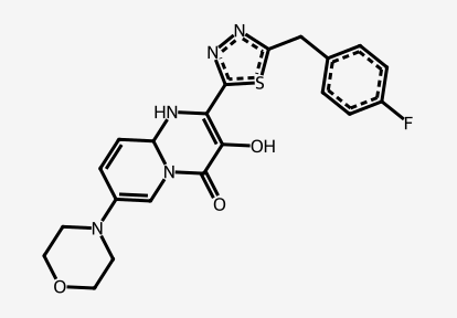 O=C1C(O)=C(c2nnc(Cc3ccc(F)cc3)s2)NC2C=CC(N3CCOCC3)=CN12